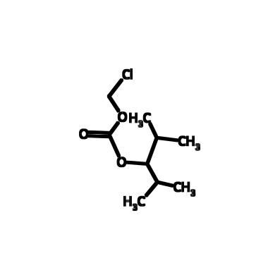 CC(C)C(OC(=O)OCCl)C(C)C